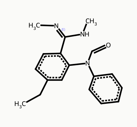 CCc1ccc(/C(=N\C)NC)c(N(C=O)c2ccccc2)c1